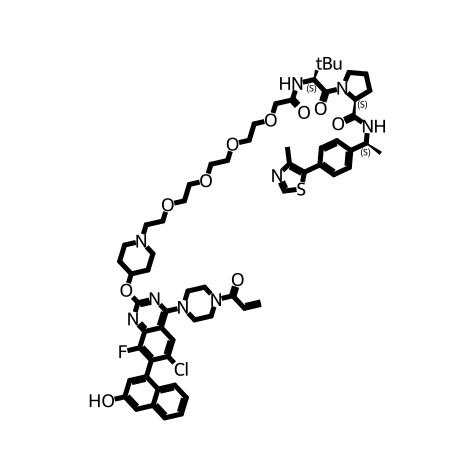 C=CC(=O)N1CCN(c2nc(OC3CCN(CCOCCOCCOCCOCC(=O)N[C@H](C(=O)N4CCC[C@H]4C(=O)N[C@@H](C)c4ccc(-c5scnc5C)cc4)C(C)(C)C)CC3)nc3c(F)c(-c4cc(O)cc5ccccc45)c(Cl)cc23)CC1